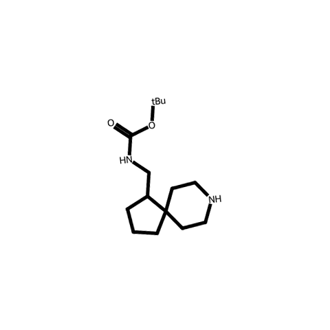 CC(C)(C)OC(=O)NCC1CCCC12CCNCC2